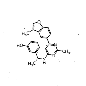 Cc1nc(N[C@H](C)c2cccc(O)c2)cc(-c2ccc3occ(C)c3c2)n1